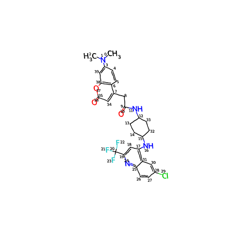 CN(C)c1ccc2c(CC(=O)NC3CCC(Nc4cc(C(F)(F)F)nc5ccc(Cl)cc45)CC3)cc(=O)oc2c1